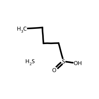 CCCCS(=O)O.S